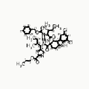 CCCOC(=O)C1=NCC([C@@H](NC(=O)[C@@]2(NC(=O)[C@@H](NC(=O)OCc3ccccc3)C(C)CC)CCc3[nH]c4c(Cl)cc(Cl)cc4c3C2)C(C)CC)=N1